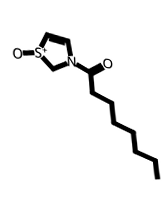 CCCCCCCC(=O)N1C=C[S+]([O-])C1